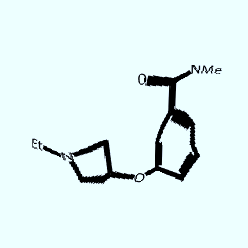 CCN1CC(Oc2cccc(C(=O)NC)c2)C1